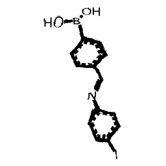 OB(O)c1ccc(/C=N/c2ccc(I)cc2)cc1